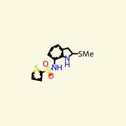 CSC1Cc2cccc(NS(=O)(=O)c3cccs3)c2N1